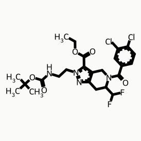 CCOC(=O)c1c2c(nn1CCNC(=O)OC(C)(C)C)CC(C(F)F)N(C(=O)c1ccc(Cl)c(Cl)c1)C2